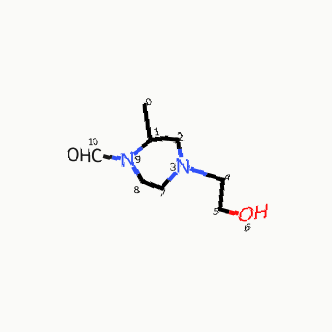 CC1CN(CCO)CCN1C=O